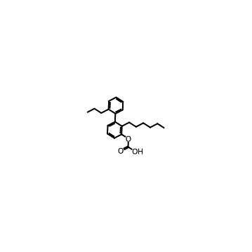 CCCCCCc1c(OC(=O)O)cccc1-c1ccccc1CCC